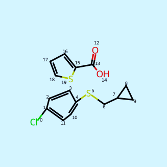 Clc1ccc(SCC2CC2)cc1.O=C(O)c1cccs1